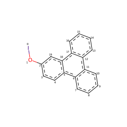 IOc1ccc2c3ccccc3c3ccccc3c2c1